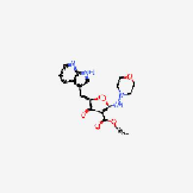 CCC(C)OC(=O)C1=C(NN2CCOCC2)OC(=Cc2c[nH]c3ncccc23)C1=O